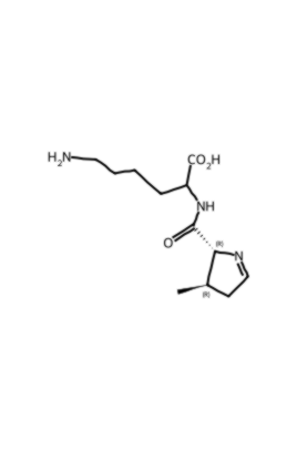 C[C@@H]1CC=N[C@H]1C(=O)NC(CCCCN)C(=O)O